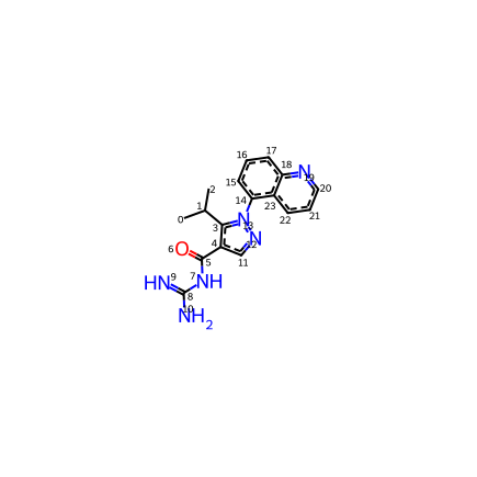 CC(C)c1c(C(=O)NC(=N)N)cnn1-c1cccc2ncccc12